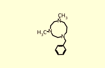 CN1CCCN(Cc2ccccc2)CCN(C)CC1